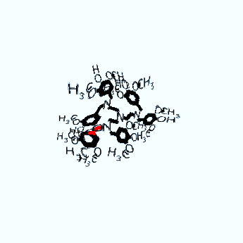 COc1cc(CN(CCN(CCN(Cc2cc(OC)c(O)c(OC)c2)Cc2cc(OC)c(O)c(OC)c2)CCN(Cc2cc(OC)c(O)c(OC)c2)Cc2cc(OC)c(O)c(OC)c2)Cc2cc(OC)c(O)c(OC)c2)cc(OC)c1C